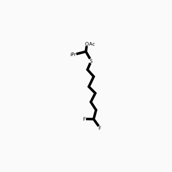 CC(=O)OC(SCCCCCCC(F)F)C(C)C